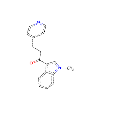 Cn1cc(C(=O)CCc2ccncc2)c2ccccc21